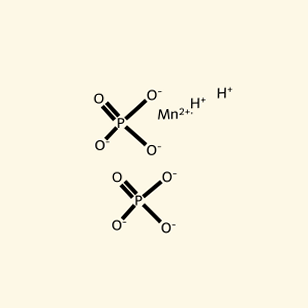 O=P([O-])([O-])[O-].O=P([O-])([O-])[O-].[H+].[H+].[Mn+2]